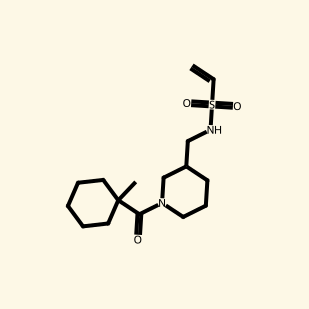 C=CS(=O)(=O)NCC1CCCN(C(=O)C2(C)CCCCC2)C1